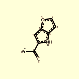 CC(C)C(=O)c1cc2occc2[nH]1